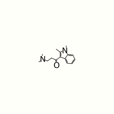 Cc1c(C(=O)CCN(C)C)c2ccccc2n1C